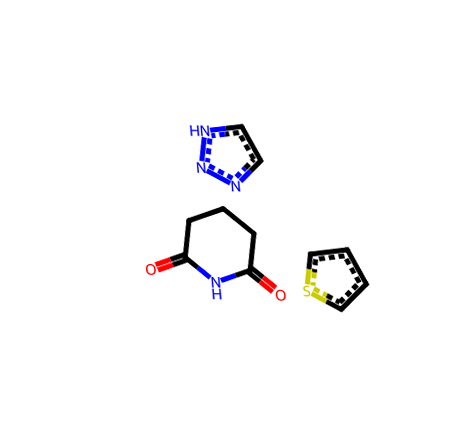 O=C1CCCC(=O)N1.c1c[nH]nn1.c1ccsc1